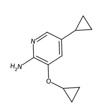 Nc1ncc(C2CC2)cc1OC1CC1